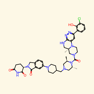 C[C@@H]1CN(CC2CCN(c3ccc4c(c3)C(=O)N([C@@H]3CCC(=O)NC3=O)C4)CC2)C[C@@H](C)N1C(=O)N1CCN2c3cc(-c4cccc(Cl)c4O)nnc3NC[C@]2(C)C1